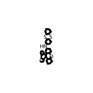 c1ccc2c(c1)Oc1ccc(Nc3ccc4c(c3)Sc3ccccc3S4)cc1C21c2ccccc2-c2ccccc21